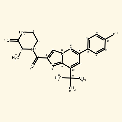 C[C@@H]1C(=O)NCCN1C(=O)c1cn2nc(-c3ccc(F)cc3)cc(C(C)(C)C)c2n1